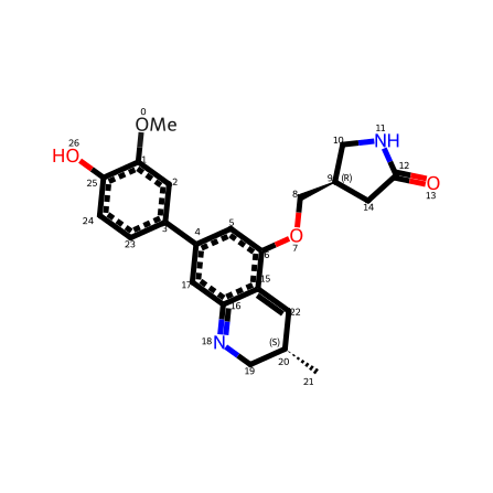 COc1cc(-c2cc(OC[C@H]3CNC(=O)C3)c3c(c2)=NC[C@@H](C)C=3)ccc1O